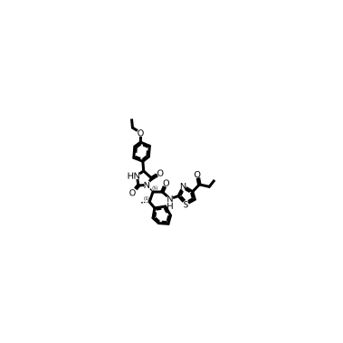 CCOc1ccc(C2NC(=O)N([C@H](C(=O)Nc3nc(C(=O)CC)cs3)[C@@H](C)c3ccccc3)C2=O)cc1